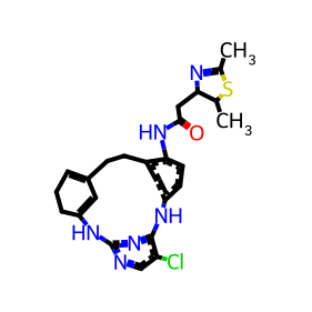 CC1=NC(CC(=O)Nc2ccc3cc2CCC2=CCCC(=C2)Nc2ncc(Cl)c(n2)N3)C(C)S1